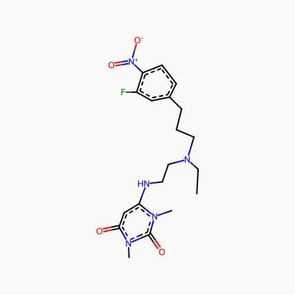 CCN(CCCc1ccc([N+](=O)[O-])c(F)c1)CCNc1cc(=O)n(C)c(=O)n1C